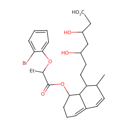 CCC(Oc1ccccc1Br)C(=O)OC1CCC=C2C=CC(C)C(CCC(O)CC(O)CC(=O)O)C21